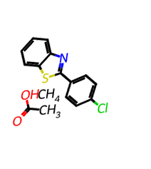 C.CC(=O)O.Clc1ccc(-c2nc3ccccc3s2)cc1